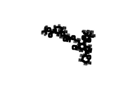 CC(C)(C)OC(=O)N1CCCC2(C1)CC(O)(CCOCCc1c(Cl)cc3c(cnn3C3CCCCO3)c1B1OC(C)(C)C(C)(C)O1)C2